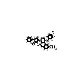 Cc1ccc(CCOc2c(N3CCN(Cc4ccc(F)cc4)CC3)cnn(-c3ccccc3)c2=O)cc1